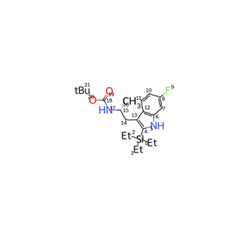 CC[Si](CC)(CC)c1[nH]c2cc(F)ccc2c1C[C@@H](C)NC(=O)OC(C)(C)C